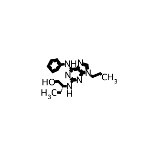 CCCn1cnc2c(Nc3ccccc3)nc(N[C@H](CC)CO)nc21